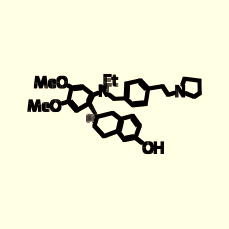 CCN(Cc1ccc(CCN2CCCC2)cc1)c1cc(OC)c(OC)cc1[C@@H]1CCc2cc(O)ccc2C1